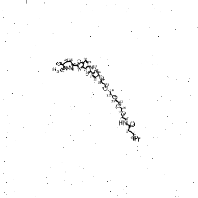 CC(C)CCC(=O)NCCOCCOCCOCCOCCOc1ccc(C(=O)Nc2ccc3oc(-c4ccc(=O)n(C)n4)nc3c2)nc1